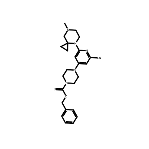 CN1CCN(c2cc(N3CCN(C(=O)OCc4ccccc4)CC3)cc(C#N)n2)C2(CC2)C1